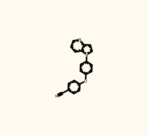 N#Cc1ccc(Oc2ccc(-n3ccc4ncccc43)cc2)cc1